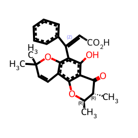 C[C@H]1Oc2c3c(c(/C(=C\C(=O)O)c4ccccc4)c(O)c2C(=O)[C@@H]1C)OC(C)(C)C=C3